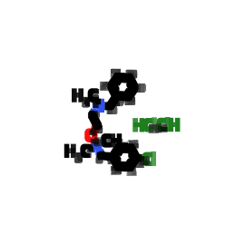 CN(CCO[N+](C)(C)Cc1ccc(Cl)cc1)Cc1ccccc1.Cl.Cl